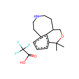 CC1(C)OCC2CCNCCc3cccc1c32.O=C(O)C(F)(F)F